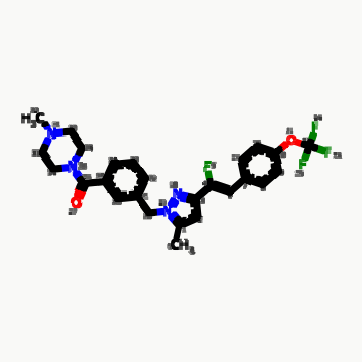 Cc1cc(C(F)=Cc2ccc(OC(F)(F)F)cc2)nn1Cc1cccc(C(=O)N2CCN(C)CC2)c1